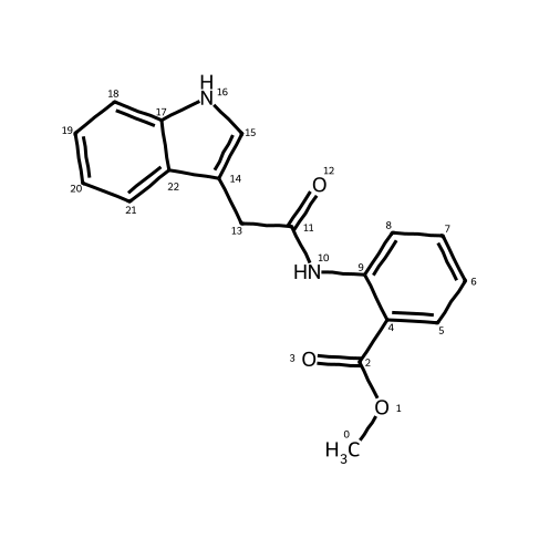 COC(=O)c1ccccc1NC(=O)Cc1c[nH]c2ccccc12